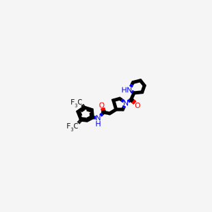 O=C(CC1CCN(C(=O)C2CCCCN2)C1)Nc1cc(C(F)(F)F)cc(C(F)(F)F)c1